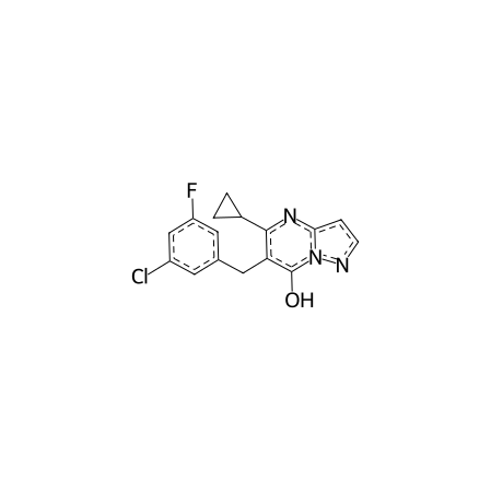 Oc1c(Cc2cc(F)cc(Cl)c2)c(C2CC2)nc2ccnn12